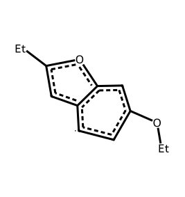 CCOc1c[c]c2cc(CC)oc2c1